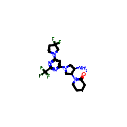 N[C@@H]1CN(c2cc(N3CCC(F)(F)C3)nc(C(F)(F)F)n2)C[C@@H]1N1CCCCC1=O